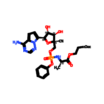 CCCCCCCCCCCCOC(=O)[C@H](C)NP(=O)(OC[C@@]1(C#N)O[C@@H](c2ccc3c(N)ncnn23)[C@H](O)[C@@H]1O)Oc1ccccc1